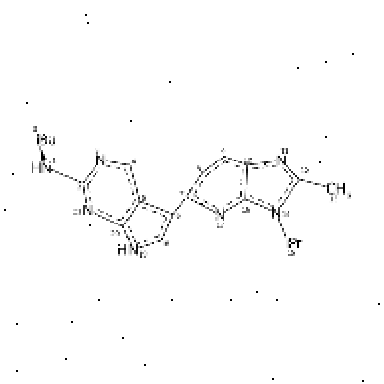 CC[C@H](C)Nc1ncc2c(-c3ccc4nc(C)n(C(C)C)c4n3)c[nH]c2n1